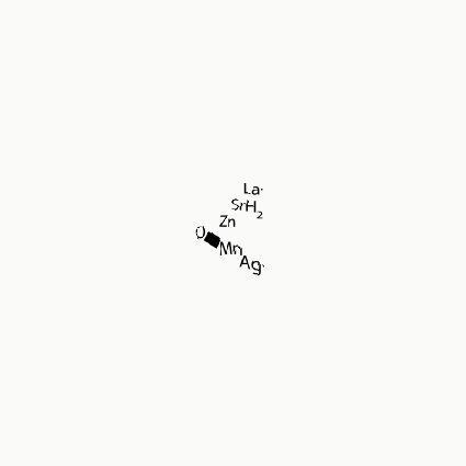 [Ag].[La].[O]=[Mn].[SrH2].[Zn]